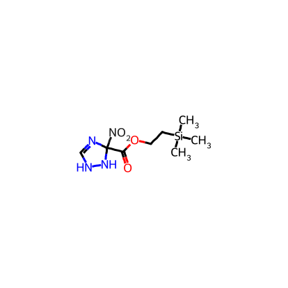 C[Si](C)(C)CCOC(=O)C1([N+](=O)[O-])N=CNN1